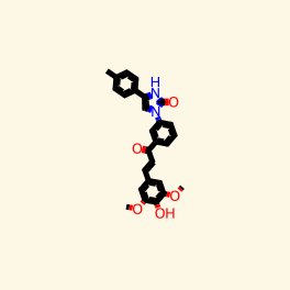 COc1cc(C=CC(=O)c2cccc(-n3cc(-c4ccc(C)cc4)[nH]c3=O)c2)cc(OC)c1O